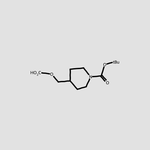 CC(C)(C)OC(=O)N1CCC(COC(=O)O)CC1